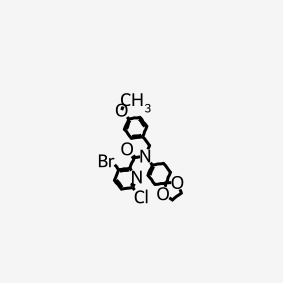 COc1ccc(CN(C(=O)c2nc(Cl)ccc2Br)C2=CCC3(CC2)OCCO3)cc1